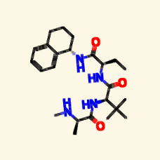 CC[C@@H](NC(=O)[C@H](NC(=O)[C@@H](C)NC)C(C)(C)C)C(=O)N[C@H]1CCCc2ccccc21